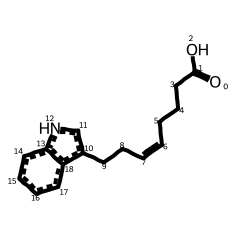 O=C(O)CCC/C=C\CCc1c[nH]c2ccccc12